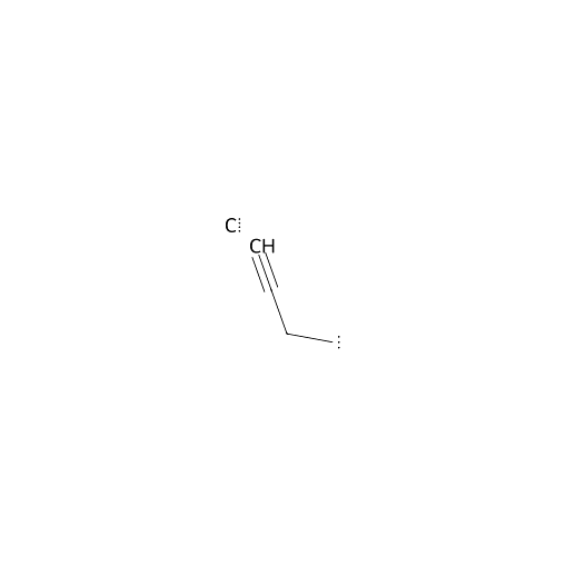 [C].[C]CC#C